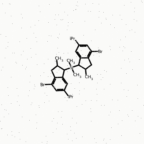 CC(C)c1cc(Br)c2c(c1)C([Si](C)(C)C1c3cc(C(C)C)cc(Br)c3CC1C)C(C)C2